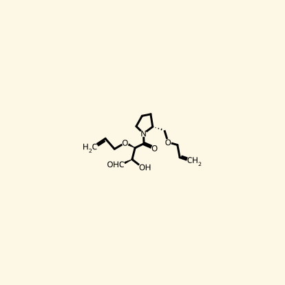 C=CCOC[C@H]1CCCN1C(=O)[C@H](OCC=C)[C@@H](O)C=O